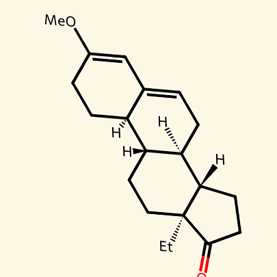 CC[C@]12CC[C@H]3[C@@H](CC=C4C=C(OC)CC[C@@H]43)[C@@H]1CCC2=O